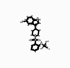 O=S(=O)(c1ccccc1OC(F)(F)F)N1CCC(c2c[nH]c3ccc(F)cc23)CC1